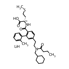 CCCC(=O)N(CCc1ccc(C(=O)N[C@@H](CCSC)C(=O)O)c(-c2ccccc2C)c1)CC1CCCCC1.[LiH]